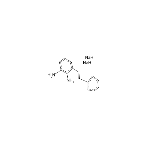 Nc1cccc(C=Cc2ccccc2)c1N.[NaH].[NaH]